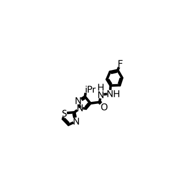 CC(C)c1nn(-c2nccs2)cc1C(=O)NNc1ccc(F)cc1